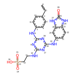 C=Cc1ccc(Nc2nc(NCCS(=O)(=O)O)nc(Nc3ccc4[nH]c(=O)[nH]c4c3)n2)cc1